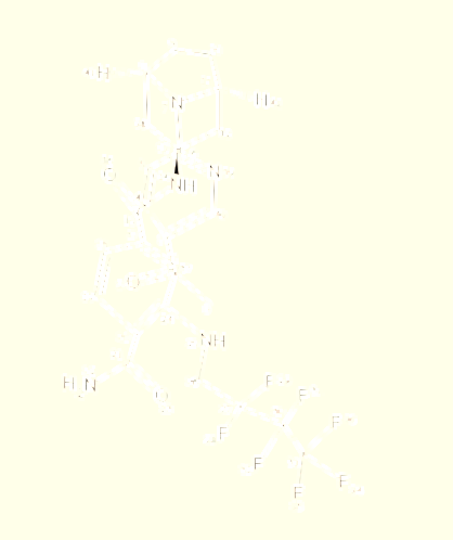 CC(=O)c1ccc(N2[C@@H]3CC[C@H]2C[C@@H](NC(=O)c2ccc(C(N)=O)c(NCC(F)(F)C(F)(F)C(F)(F)F)c2)C3)nc1